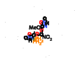 COc1cc2c(cc1OCc1cc(COc3cc4c(cc3C)C(=O)N3c5ccccc5C[C@H]3CN4P(P)P)cc([N+](=O)[O-])c1)N=C[C@@H]1Cc3ccccc3N1C2=O